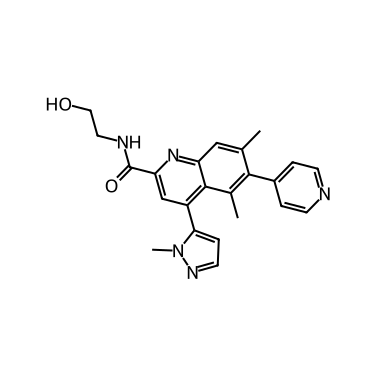 Cc1cc2nc(C(=O)NCCO)cc(-c3ccnn3C)c2c(C)c1-c1ccncc1